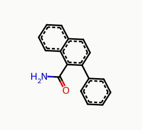 NC(=O)c1c(-c2ccccc2)ccc2ccccc12